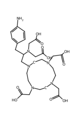 Nc1ccc(CC(CN2CCN(CC(=O)O)CCN(CC(=O)O)CCN(CC(=O)O)CC2)N(CC(=O)O)CC(=O)O)cc1